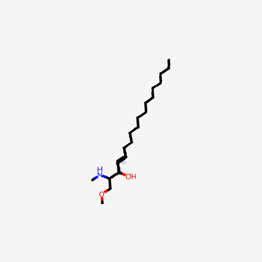 CCCCCCCCCCCCC/C=C/C(O)C(COC)NC